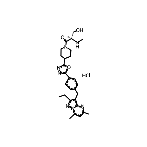 CCc1nn2c(C)cc(C)nc2c1Cc1ccc(-c2nnc(C3CCN(C(=O)[C@H](CO)NC)CC3)o2)cc1.Cl